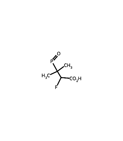 CC(C)(P=O)C(F)C(=O)O